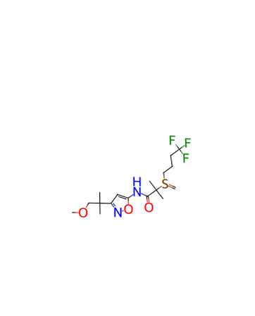 C=S(CCCC(F)(F)F)C(C)(C)C(=O)Nc1cc(C(C)(C)COC)no1